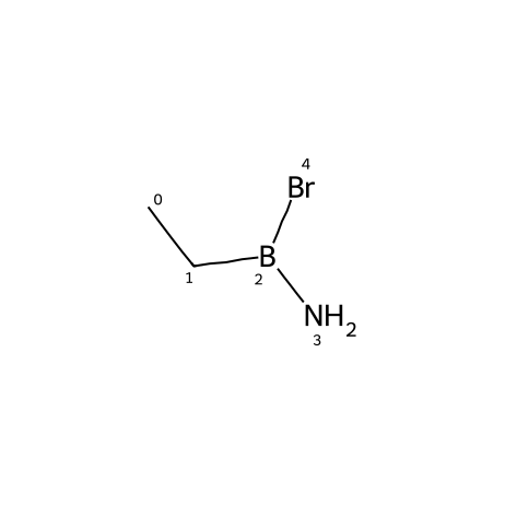 CCB(N)Br